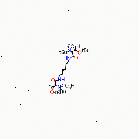 C[C@H](OC(C)(C)C)[C@H](C(=O)NCCC=CCCNC(=O)[C@H]([C@@H](C)OC(C)(C)C)N(C(=O)O)C(C)(C)C)N(C(=O)O)C(C)(C)C